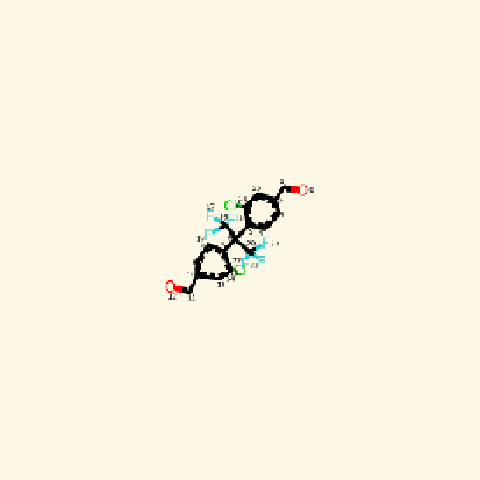 O=Cc1ccc(C(c2ccc(C=O)cc2Cl)(C(F)(F)F)C(F)(F)F)c(Cl)c1